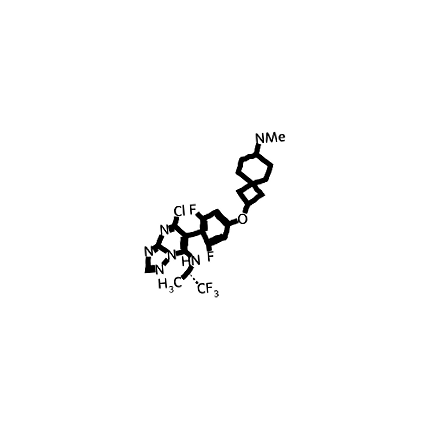 CNC1CCC2(CC1)CC(Oc1cc(F)c(-c3c(Cl)nc4ncnn4c3N[C@@H](C)C(F)(F)F)c(F)c1)C2